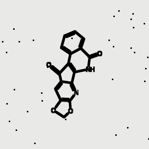 O=C1c2cc3c(nc2-c2[nH]c(=O)c4ccccc4c21)OCO3